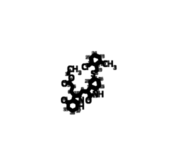 CCOC(=O)CCc1c(/C=C2\C(=O)Nc3ccc(SCc4c(C)cccc4Cl)cc32)[nH]c2c1C(=O)CCC2